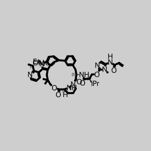 C=CC(=O)Nc1cnc(OC[C@H](C(=O)N[C@H]2Cc3cccc(c3)-c3ccc4c(c3)c(c(-c3cccnc3[C@H](C)OC)n4CC)CC(C)(C)COC(=O)[C@@H]3CCCN(N3)C2=O)C(C)C)n1C